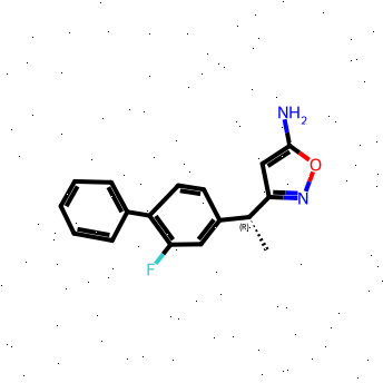 C[C@H](c1ccc(-c2ccccc2)c(F)c1)c1cc(N)on1